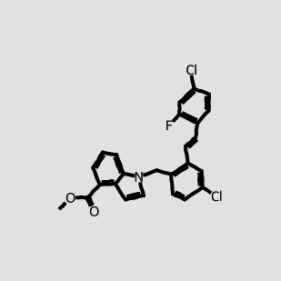 COC(=O)c1cccc2c1ccn2Cc1ccc(Cl)cc1C=Cc1ccc(Cl)cc1F